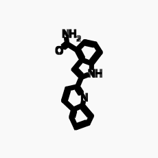 NC(=O)c1cccc2[nH]c(-c3ccc4ccccc4n3)cc12